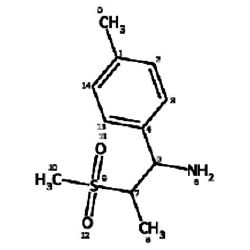 Cc1ccc(C(N)C(C)S(C)(=O)=O)cc1